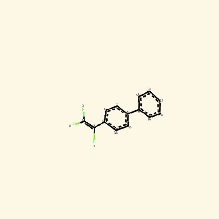 FC(F)=C(F)c1ccc(-c2ccccc2)cc1